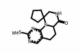 CSc1ncc2c(n1)N1C(CC2)C(=O)NCC12CCCC2